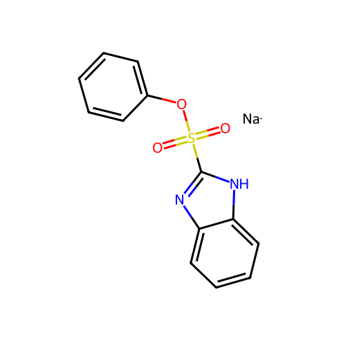 O=S(=O)(Oc1ccccc1)c1nc2ccccc2[nH]1.[Na]